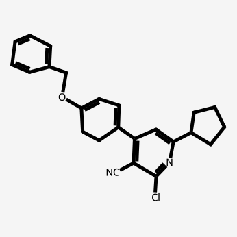 N#Cc1c(C2=CC=C(OCc3ccccc3)CC2)cc(C2CCCC2)nc1Cl